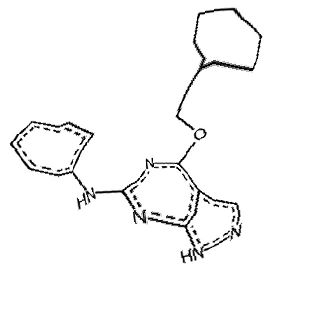 c1ccc(Nc2nc(OCC3CCCCC3)c3cn[nH]c3n2)cc1